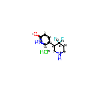 Cl.O=c1ccc(C2CNCCC2(F)F)c[nH]1